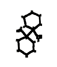 CCCC1(C2(C#N)CCCCC2)CCCCC1